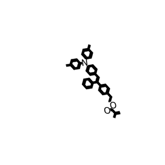 C=C(C)C(=O)OCCc1ccc(C(=Cc2ccc(N(c3ccc(C)cc3)c3ccc(C)cc3)cc2)c2ccccc2)cc1